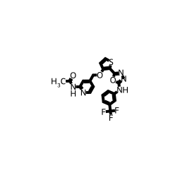 CC(=O)Nc1cc(COc2ccsc2-c2nnc(Nc3cccc(C(F)(F)F)c3)o2)ccn1